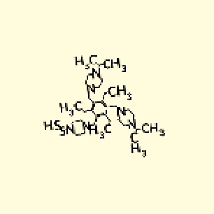 CCc1c(CN2CCN(SS)CC2)c(CC)c(CN2CCN(C(C)C)CC2)c(CC)c1CN1CCN(C(C)C)CC1